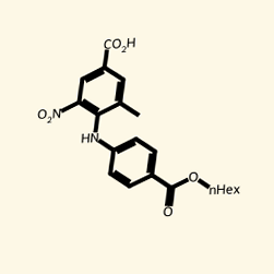 CCCCCCOC(=O)c1ccc(Nc2c(C)cc(C(=O)O)cc2[N+](=O)[O-])cc1